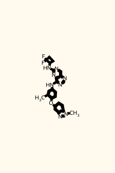 Cc1cc(Nc2ncnc3cnc(NC4CCC4(F)F)nc23)ccc1Oc1ccc2c(c1)ncn2C